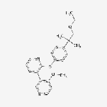 CCOCC(C)(C)c1ccc(Oc2ncccc2-c2cnccc2OC)cc1